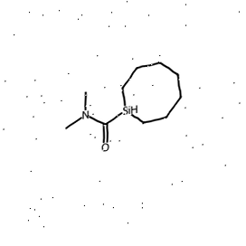 CN(C)C(=O)[SiH]1CCCCCCC1